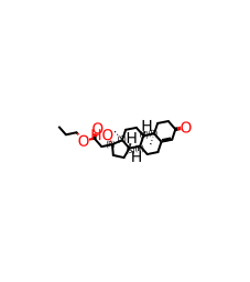 CCCOC(=O)C[C@]1(O)CC[C@H]2[C@@H]3CCC4=CC(=O)CC[C@]4(C)[C@H]3CC[C@@]21C